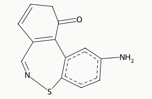 Nc1ccc2c(c1)C1=C(C=CCC1=O)C=NS2